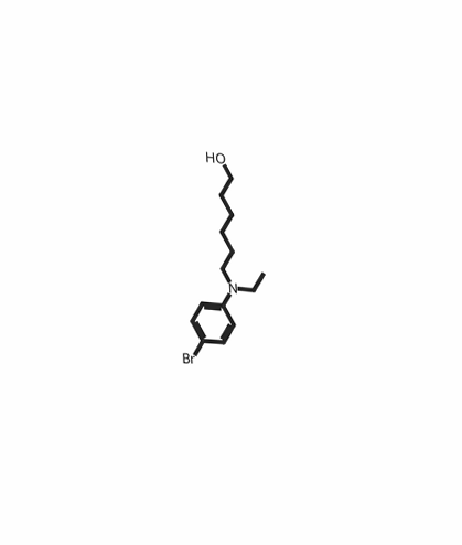 CCN(CCCCCCO)c1ccc(Br)cc1